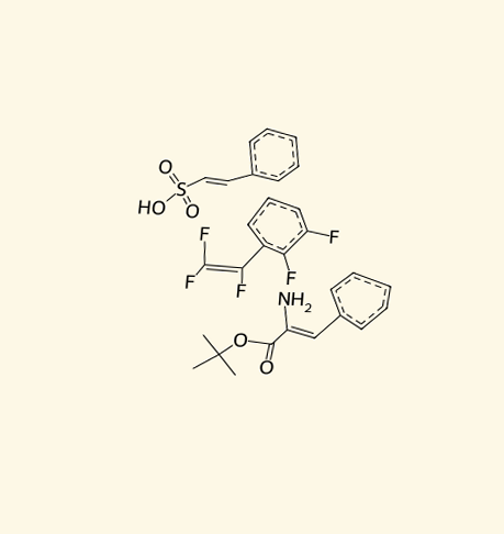 CC(C)(C)OC(=O)C(N)=Cc1ccccc1.FC(F)=C(F)c1cccc(F)c1F.O=S(=O)(O)C=Cc1ccccc1